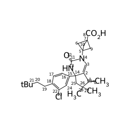 C[C@@H]1C2=CN(C34CC(C(=O)O)(C3)C4)C(=O)NC2(c2ccc(CCC(C)(C)C)c(Cl)c2)CC1(C)C